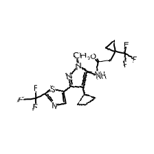 Cn1nc(-c2cnc(C(F)(F)F)s2)c(C2CCC2)c1NC(=O)CC1(C(F)(F)F)CC1